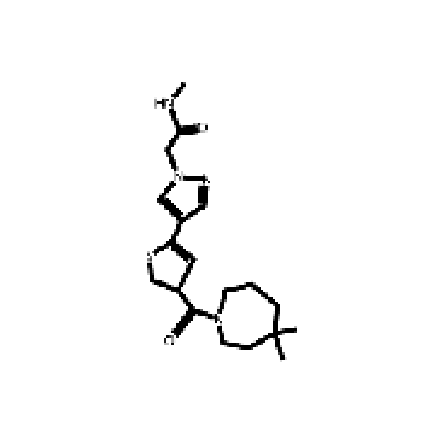 CNC(=O)Cn1cc(C2=CC(C(=O)N3CCCC(C)(C)CC3)CS2)cn1